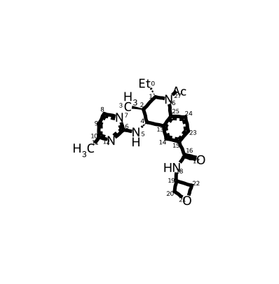 CC[C@H]1[C@H](C)[C@@H](Nc2nccc(C)n2)c2cc(C(=O)NC3COC3)ccc2N1C(C)=O